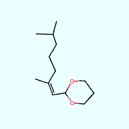 CC(=CC1OCCCO1)CCCC(C)C